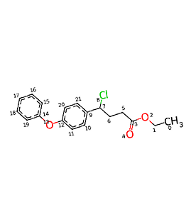 CCOC(=O)CCC(Cl)c1ccc(Oc2ccccc2)cc1